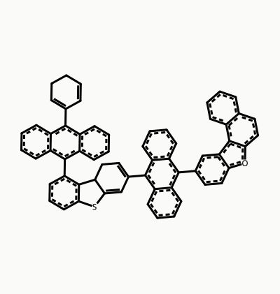 C1=CC(c2c3ccccc3c(-c3cccc4c3C3CC=C(c5c6ccccc6c(-c6ccc7oc8ccc9ccccc9c8c7c6)c6ccccc56)C=C3S4)c3ccccc23)=CCC1